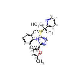 COc1cccc(OC)c1-n1c(SC(C)(C(=O)O)c2ccccn2)nnc1-c1ccc(C)o1